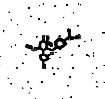 CCOC(=O)C1=CNS(=O)(=O)N(Cc2ccc(C(=O)NO)cc2)C1c1ccc(Cl)cc1Cl